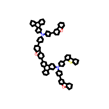 c1ccc2c(c1)oc1ccc(-c3ccc(N(c4ccc(-c5ccc6oc7cc(-c8ccc9c%10ccccc%10c%10cc(N(c%11ccc(-c%12ccc%13oc%14ccccc%14c%13c%12)cc%11)c%11ccc(-c%12cccc%13c%12sc%12ccccc%12%13)cc%11)ccc%10c9c8)ccc7c6c5)cc4)c4ccc5c6ccccc6c6ccccc6c5c4)cc3)cc12